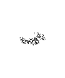 CC1(C(=O)N2C[C@H](O)C[C@H](c3nc(-c4ccc(C(=O)Nc5cc(C(F)(F)F)ccn5)cc4)c4c(N)nccn34)C2)COC1